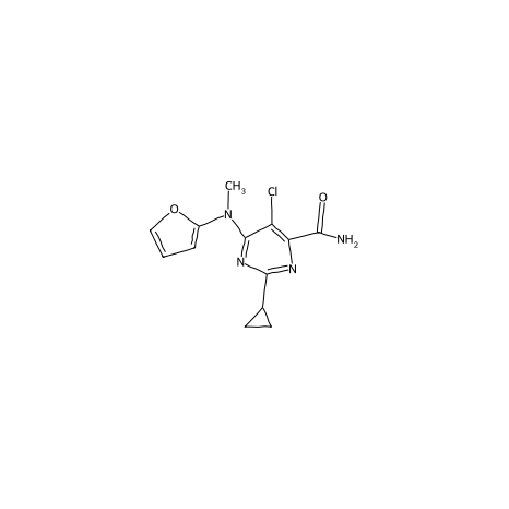 CN(c1ccco1)c1nc(C2CC2)nc(C(N)=O)c1Cl